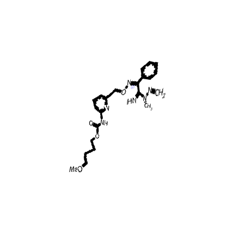 C=NN(C)C(=N)/C(=N\OCc1cccc(NC(=O)OCCCCOC)n1)c1ccccc1